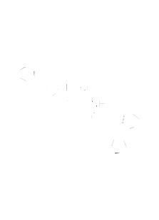 CC(CSCC(NC(=O)OCC1c2ccccc2-c2ccccc21)C(=O)O)C(=O)OCc1ccccc1